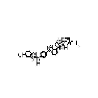 CC(C)C[C@H](NC(=O)c1cccn2c(-c3ccc(Nc4nc5ccc(Cl)cc5s4)cc3)nnc12)C(=O)O